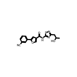 CC(O)Cc1nsc(NC(=O)c2coc(-c3cccc(C#N)c3)c2)n1